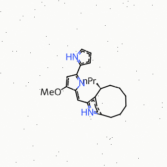 CCC[C@H]1CCCCCCc2cc1c(C=C1N=C(c3ccc[nH]3)C=C1OC)[nH]2